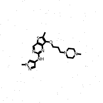 Cc1sc2cnc(Nc3cnn(C)c3)nc2c1OCCCN1CCN(C)CC1